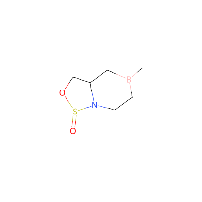 CB1CCN2C(COS2=O)C1